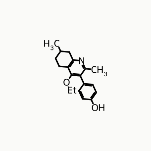 CCOc1c2c(nc(C)c1-c1ccc(O)cc1)CC(C)CC2